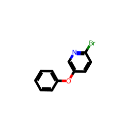 Brc1ccc(Oc2ccccc2)cn1